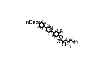 CCCCCCCCCCc1ccc(-c2ccc(-c3ccc(OC(=O)[C@@H](C)CCCC(C)C)c(F)c3)nc2)cc1